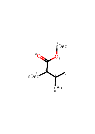 CCCCCCCCCCOC(=O)C(CCCCCCCCCC)C(C)CCCC